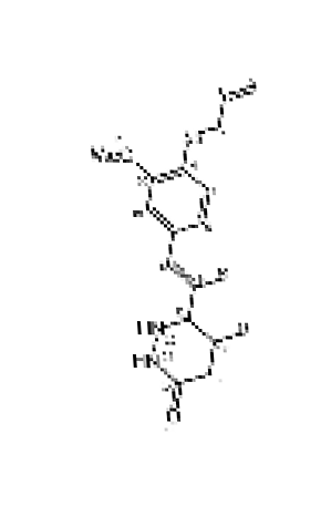 C=CCSc1ccc(/C=C(\C)C2NNC(=O)CC2C)cc1OC